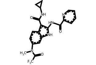 CN(C(=O)C(F)(F)F)c1ccc2c(C(=O)NC3CC3)c(NC(=O)c3ccccn3)[nH]c2c1